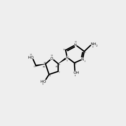 NC1=NC(O)N([C@H]2CC(O)[C@@H](CO)O2)C=N1